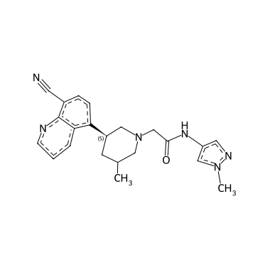 CC1C[C@@H](c2ccc(C#N)c3ncccc23)CN(CC(=O)Nc2cnn(C)c2)C1